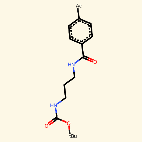 CC(=O)c1ccc(C(=O)NCCCNC(=O)OC(C)(C)C)cc1